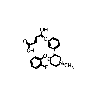 CN1CC[C@H](Oc2ccccc2F)[C@H](c2ccccc2)C1.O=C(O)C=CC(=O)O